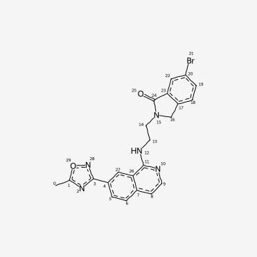 Cc1nc(-c2ccc3ccnc(NCCN4Cc5ccc(Br)cc5C4=O)c3c2)no1